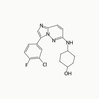 OC1CCC(Nc2ccc3ncc(-c4ccc(F)c(Cl)c4)n3n2)CC1